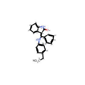 O=C(O)Cc1ccc(NC(=C2C(=O)Nc3ccccc32)c2ccccc2)cc1